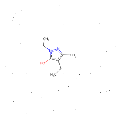 CCc1c(C)nn(CC)c1O